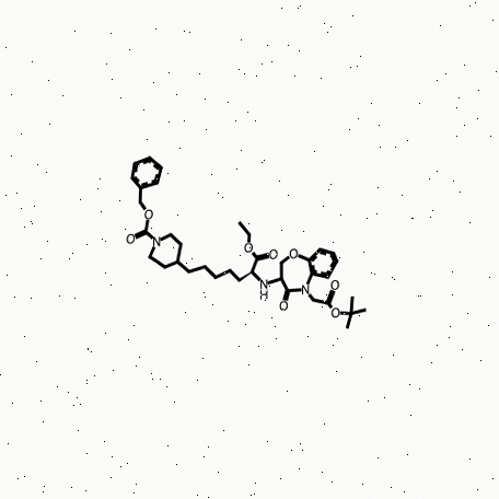 CCOC(=O)[C@H](CCCCCC1CCN(C(=O)OCc2ccccc2)CC1)NC1COc2ccccc2N(CC(=O)OC(C)(C)C)C1=O